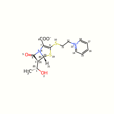 C[C@@H](O)[C@H]1C(=O)N2C(C(=O)[O-])=C(SCC[n+]3ccccc3)S[C@H]12